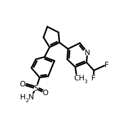 Cc1cc(C2=C(c3ccc(S(N)(=O)=O)cc3)CCC2)cnc1C(F)F